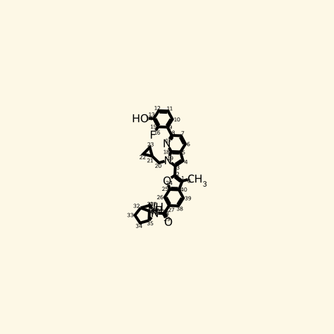 Cc1c(-c2cc3ccc(-c4cccc(O)c4F)nc3n2CC2CC2)oc2cc(C(=O)N3CC4CCC3[C@@H]4N)ccc12